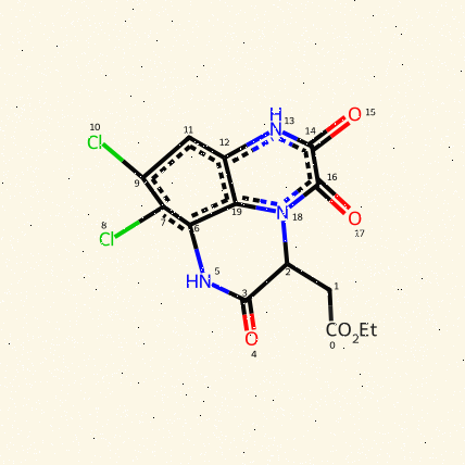 CCOC(=O)CC1C(=O)Nc2c(Cl)c(Cl)cc3[nH]c(=O)c(=O)n1c23